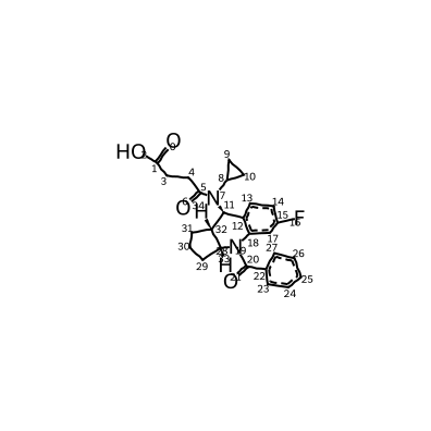 O=C(O)CCC(=O)N(C1CC1)[C@H]1c2ccc(F)cc2N(C(=O)c2ccccc2)[C@@H]2CCC[C@@H]21